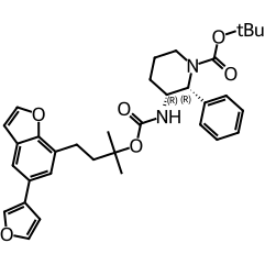 CC(C)(C)OC(=O)N1CCC[C@@H](NC(=O)OC(C)(C)CCc2cc(-c3ccoc3)cc3ccoc23)[C@H]1c1ccccc1